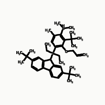 C=CCOc1c([Si](CC)(CC)C2c3cc(C(C)(C)C)ccc3-c3ccc(C(C)(C)C)cc32)cc(C)c([SiH](C)C)c1C(C)(C)C